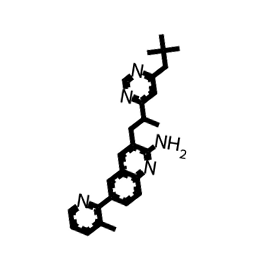 Cc1cccnc1-c1ccc2nc(N)c(CC(C)c3cc(CC(C)(C)C)ncn3)cc2c1